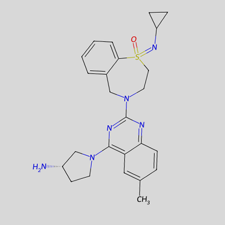 Cc1ccc2nc(N3CCS(=O)(=NC4CC4)c4ccccc4C3)nc(N3CC[C@H](N)C3)c2c1